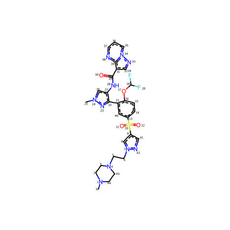 CN1CCN(CCn2cc(S(=O)(=O)c3ccc(OC(F)F)c(-c4nn(C)cc4NC(=O)c4cnn5cccnc45)c3)cn2)CC1